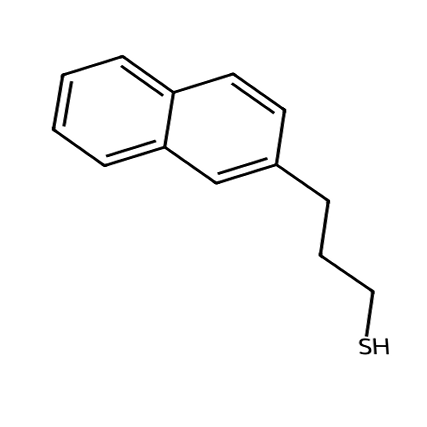 SCCCc1ccc2ccccc2c1